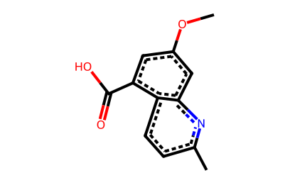 COc1cc(C(=O)O)c2ccc(C)nc2c1